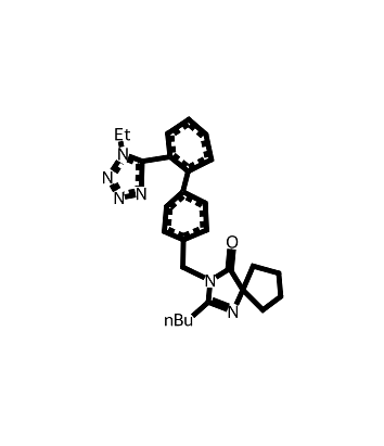 CCCCC1=NC2(CCCC2)C(=O)N1Cc1ccc(-c2ccccc2-c2nnnn2CC)cc1